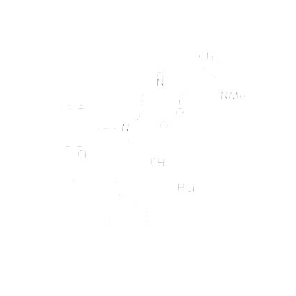 CN[C@@H](C)C(=O)N[C@H]1CCc2ccccc2N(C(C)c2c(Cl)ccc3ccccc23)C1=O.Cl